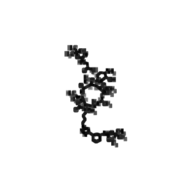 CC[C@H]1OC(=O)[C@H](C)C(=O)[C@H](C)[C@@H](O[C@@H]2O[C@H](CNC(=O)CNC(=O)OC(C)(C)C)CC(N)C2O)[C@](C)(OC)C[C@@H](C)CN[C@H](C)[C@H]2N(CCCCn3cc(-c4cccc(NC(=O)OC(C)(C)C)c4)nn3)C(=O)O[C@]12C